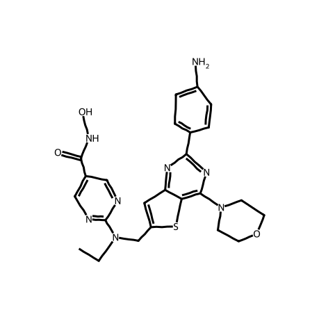 CCN(Cc1cc2nc(-c3ccc(N)cc3)nc(N3CCOCC3)c2s1)c1ncc(C(=O)NO)cn1